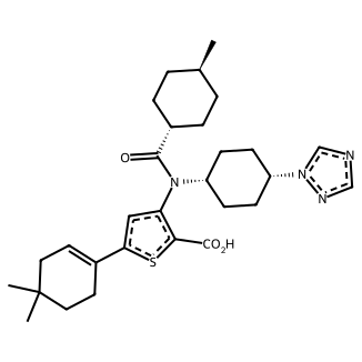 CC1(C)CC=C(c2cc(N(C(=O)[C@H]3CC[C@H](C)CC3)[C@H]3CC[C@@H](n4cncn4)CC3)c(C(=O)O)s2)CC1